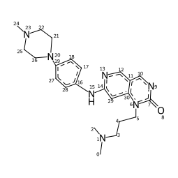 CN(C)CCCn1c(=O)ncc2cnc(Nc3ccc(N4CCN(C)CC4)cc3)cc21